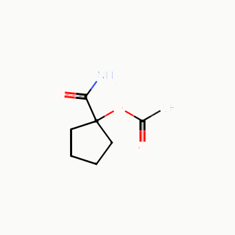 NC(=O)C1(OC(=O)C(F)(F)F)CCCC1